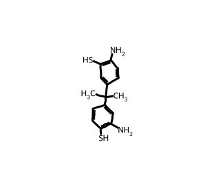 CC(C)(c1ccc(S)c(N)c1)c1ccc(N)c(S)c1